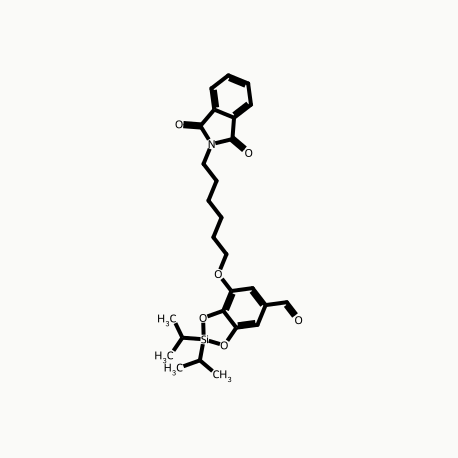 CC(C)[Si]1(C(C)C)Oc2cc(C=O)cc(OCCCCCCN3C(=O)c4ccccc4C3=O)c2O1